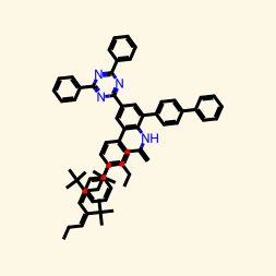 C=C(/C=C(\CC)CC(C)(C)C/C(=C\C(=C/CC)C(C)(C)C)C(C)(C)C)Nc1c(-c2ccc(-c3ccccc3)cc2)cc(-c2nc(-c3ccccc3)nc(-c3ccccc3)n2)cc1-c1ccc(-c2ccccc2)cc1